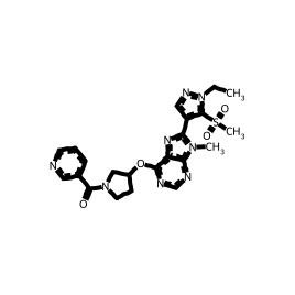 CCn1ncc(-c2nc3c(OC4CCN(C(=O)c5cccnc5)C4)ncnc3n2C)c1S(C)(=O)=O